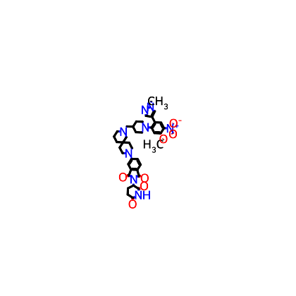 COc1cc(N2CCC(CN3CCCC4(CCN(c5ccc6c(c5)C(=O)N(C5CCC(=O)NC5=O)C6=O)CC4)C3)CC2)c(-c2cnn(C)c2)cc1[N+](=O)[O-]